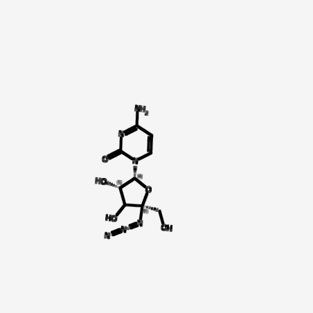 [N-]=[N+]=N[C@]1(CO)O[C@@H](n2ccc(N)nc2=O)[C@@H](O)C1O